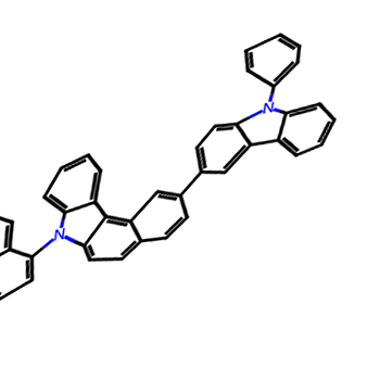 c1ccc(-n2c3ccccc3c3cc(-c4ccc5ccc6c(c5c4)c4ccccc4n6-c4cccc5ccccc45)ccc32)cc1